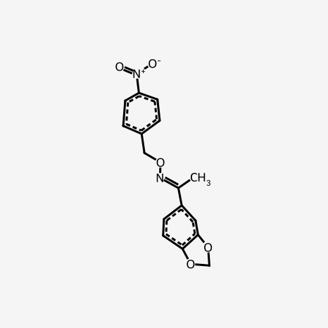 C/C(=N\OCc1ccc([N+](=O)[O-])cc1)c1ccc2c(c1)OCO2